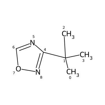 CC(C)(C)c1ncon1